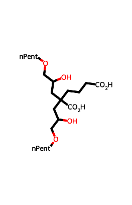 CCCCCOCC(O)CC(CCCC(=O)O)(CC(O)COCCCCC)C(=O)O